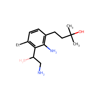 BC(CN)c1c(CC)ccc(CCC(C)(C)O)c1N